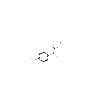 CCOC(=O)O[C@H](C)OC(=O)[C@@H](C)c1ccc(CC(C)C)cc1